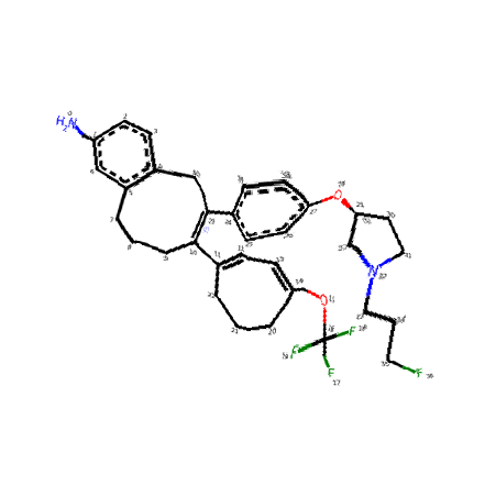 Nc1ccc2c(c1)CCC/C(C1=CC=C(OC(F)(F)F)CCC1)=C(/c1ccc(O[C@H]3CCN(CCCF)C3)cc1)C2